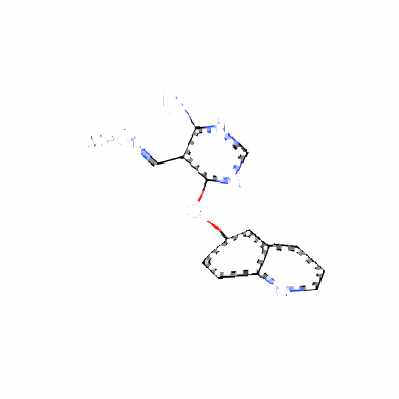 CO/N=C/c1c(N)ncnc1Oc1ccc2ncccc2c1